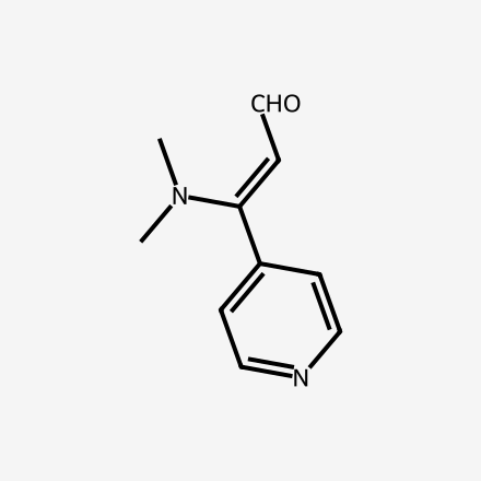 CN(C)C(=CC=O)c1ccncc1